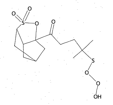 CC(C)(CCC(=O)C12CC3CC1C(C3)S(=O)(=O)O2)SOOO